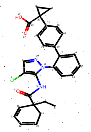 CCC1(C(=O)Nc2c(Cl)cnn2-c2ccccc2-c2ccc(C3(C(=O)O)CC3)cc2)C=CC=CC1